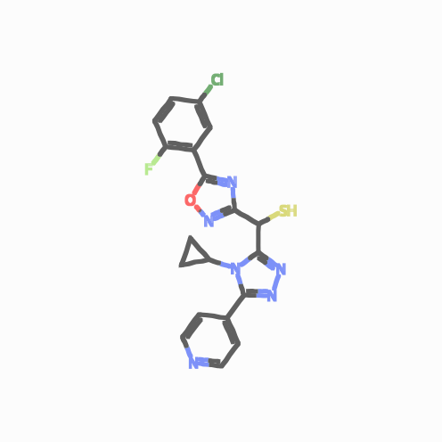 Fc1ccc(Cl)cc1-c1nc(C(S)c2nnc(-c3ccncc3)n2C2CC2)no1